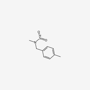 Cc1ccc(CN(C)[SH](=O)=O)cc1